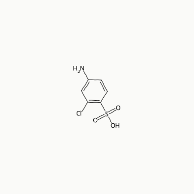 Nc1ccc(S(=O)(=O)O)c(Cl)c1